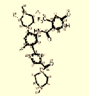 C[C@@H]1CN(c2cc(F)c(-c3nc(C(=O)N4CCN(C)CC4)cs3)cc2NC(=O)c2c[nH]c(=O)cc2C(F)(F)F)C[C@H](C)N1C